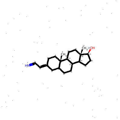 C[C@]12CC/C(=C\C=N)CC1CCC1C2CC[C@@]2(C)C1CC[C@@H]2O